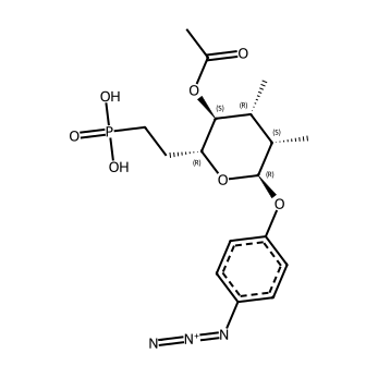 CC(=O)O[C@H]1[C@H](C)[C@H](C)[C@@H](Oc2ccc(N=[N+]=[N-])cc2)O[C@@H]1CCP(=O)(O)O